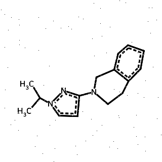 CC(C)n1ccc(N2CCc3ccccc3C2)n1